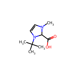 CN1C=CN(C(C)(C)C)C1C(=O)O